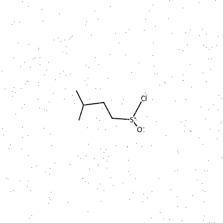 CC(C)CC[S+]([O-])Cl